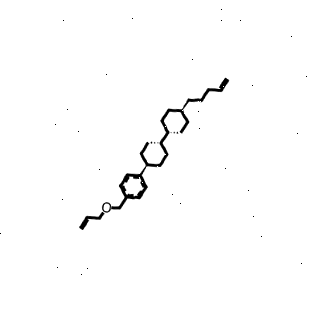 C=CCCC[C@H]1CC[C@H]([C@H]2CC[C@H](c3ccc(COCC=C)cc3)CC2)CC1